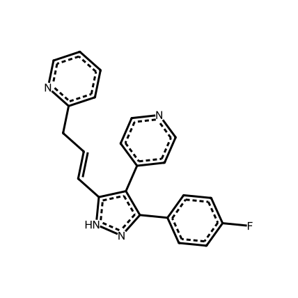 Fc1ccc(-c2n[nH]c(C=CCc3ccccn3)c2-c2ccncc2)cc1